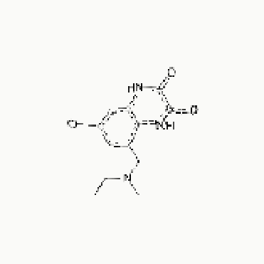 C[CH]N(C)Cc1cc(Cl)cc2[nH]c(=O)c(=O)[nH]c12